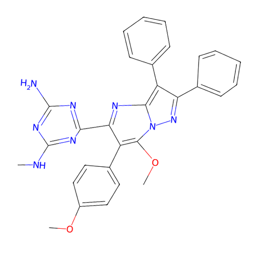 CNc1nc(N)nc(-c2nc3c(-c4ccccc4)c(-c4ccccc4)nn3c(OC)c2-c2ccc(OC)cc2)n1